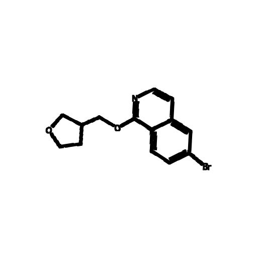 Brc1ccc2c(OCC3CCOC3)nccc2c1